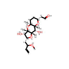 C=CC(C[C@H]1O[C@H]2[C@@H](O)[C@H]3O[C@@H](CC=O)CC[C@@H]3O[C@H]2[C@H]1O)OC